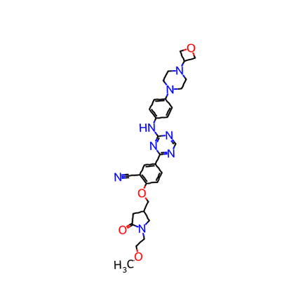 COCCN1CC(COc2ccc(-c3ncnc(Nc4ccc(N5CCN(C6COC6)CC5)cc4)n3)cc2C#N)CC1=O